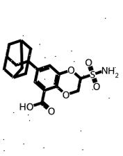 NS(=O)(=O)C1COc2c(cc(C34CC5CC(CC(C5)C3)C4)cc2C(=O)O)O1